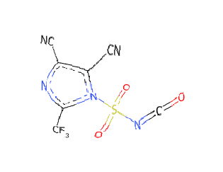 N#Cc1nc(C(F)(F)F)n(S(=O)(=O)N=C=O)c1C#N